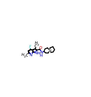 Cc1cc(F)c2c(C)c(C(=O)NC3CC[Si]4(CCCCC4)CC3)[nH]c2n1